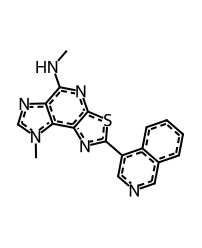 CNc1nc2sc(-c3cncc4ccccc34)nc2c2c1ncn2C